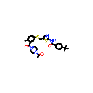 CC(=O)N1CCN(C(=O)c2cc(SCc3cnc(NC(=O)c4ccc(C(C)(C)C)cc4)s3)ccc2C)CC1